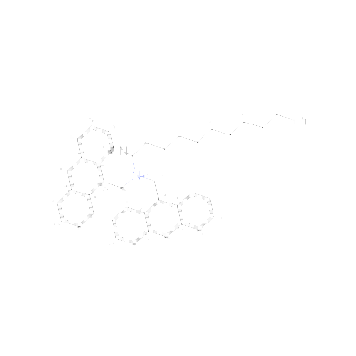 [C-]#[N+]C(CCCCCCCCCC(C)C)N(Cc1c2ccccc2cc2ccccc12)Cc1c2ccccc2cc2ccccc12